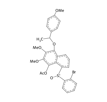 COc1ccc(C(C)Oc2c(OC)c(OC)c(OC(C)=O)c3c([S+]([O-])c4ccccc4Br)cccc23)cc1